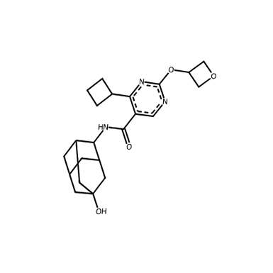 O=C(NC1C2CC3CC1CC(O)(C3)C2)c1cnc(OC2COC2)nc1C1CCC1